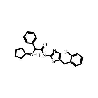 O=C(Nc1ncc(Cc2ccccc2Cl)s1)C(NC1CCCC1)c1ccccc1